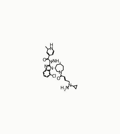 CC1C=C(C(=O)N(N)c2nc3cccc(Cl)c3n2[C@@H]2CCCCN(C(=O)/C=C/CN(N)C3CC3)C2)C=CN1